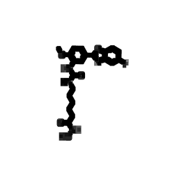 COc1ccc(-c2nc3cc(F)ccc3o2)cc1NC(=O)NCCCCCC(=O)NO